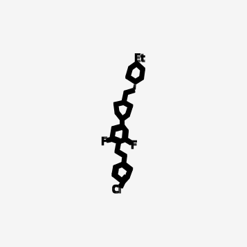 CC[C@H]1CC[C@H](CCC2CCC(c3cc(F)c(CCc4ccc(Cl)cc4)c(F)c3)CC2)CC1